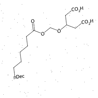 CCCCCCCCCCCCCCCC(=O)OCOC(CC(=O)O)CC(=O)O